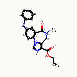 CCOC(=O)c1ncn2c1CN(C)C(=O)c1cc([I+]c3ccccc3)ccc1-2